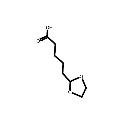 O=C(O)CCCCC1OCCO1